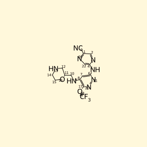 N#Cc1cnc(Nc2cc(NCC3CNCCO3)c(OC(F)(F)F)nn2)cn1